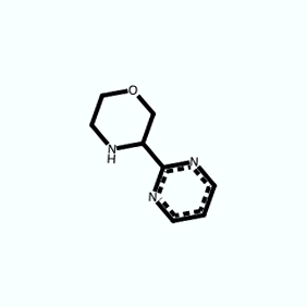 c1cnc(C2COCCN2)nc1